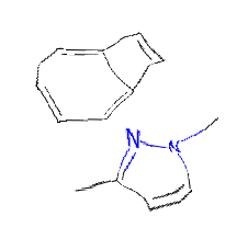 C1=Cc2ccccc21.Cc1ccn(C)n1